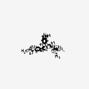 CN(C)C(=O)[C@H]1CCc2c(sc3ncnc(Nc4cc5cn[nH]c5cc4OCCNC(=O)C(C)(C)C)c23)C1